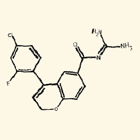 NC(N)=NC(=O)c1ccc2c(c1)C(c1ccc(Cl)cc1F)=CCO2